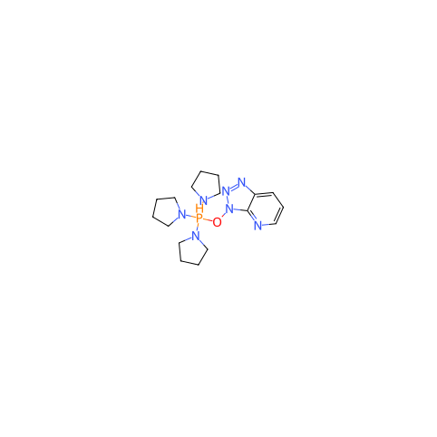 c1cnc2c(c1)nnn2O[PH](N1CCCC1)(N1CCCC1)N1CCCC1